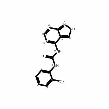 O=C(Nc1ccccc1Cl)Nc1ncnc2n[nH]cc12